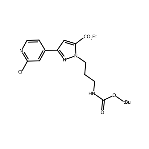 CCOC(=O)c1cc(-c2ccnc(Cl)c2)nn1CCCNC(=O)OC(C)(C)C